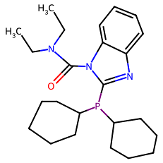 CCN(CC)C(=O)n1c(P(C2CCCCC2)C2CCCCC2)nc2ccccc21